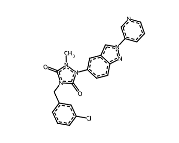 Cn1c(=O)n(Cc2cccc(Cl)c2)c(=O)n1-c1ccc2nn(-c3cccnc3)cc2c1